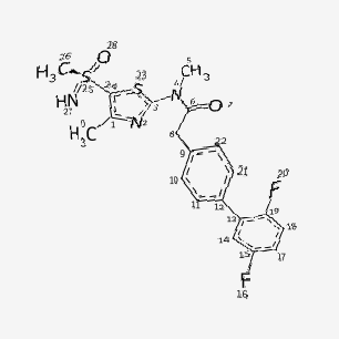 Cc1nc(N(C)C(=O)Cc2ccc(-c3cc(F)ccc3F)cc2)sc1[S@](C)(=N)=O